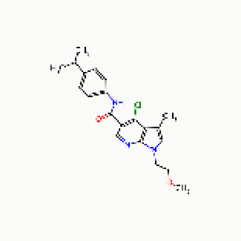 COCCn1cc(C)c2c(Cl)c(C(=O)Nc3ccc(C(C)C)cc3)cnc21